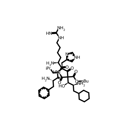 CCCCOC(=O)C(C(=O)[C@H](Cc1c[nH]cn1)NC(=O)[C@@H](N)Cc1ccccc1)(C(=O)N(CC(C)C)C(=O)[C@@H](N)CCCCNC(=N)N)[C@H](O)[C@@H](N)CC1CCCCC1